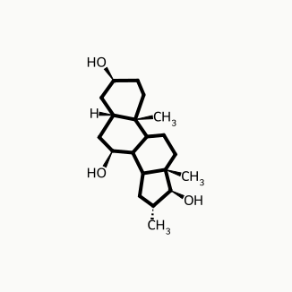 C[C@@H]1CC2C3C(CC[C@]2(C)[C@H]1O)[C@@]1(C)CC[C@H](O)C[C@H]1C[C@@H]3O